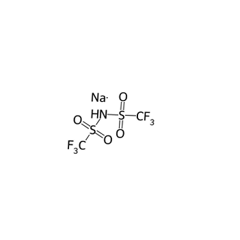 O=S(=O)(NS(=O)(=O)C(F)(F)F)C(F)(F)F.[Na]